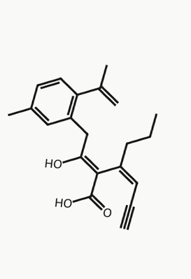 C#C/C=C(CCC)\C(C(=O)O)=C(\O)Cc1cc(C)ccc1C(=C)C